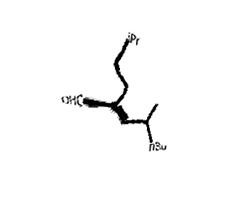 CCCCC(C)C=C(C=O)CCC(C)C